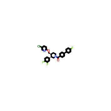 O=C(c1ccc(-c2ccc(F)cc2)cc1)N1CC[C@H](COc2ccc(Cl)cn2)[C@@H](c2ccc(F)c(F)c2)C1